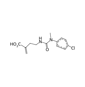 C=C(CCNC(=O)N(C)c1ccc(Cl)cc1)C(=O)O